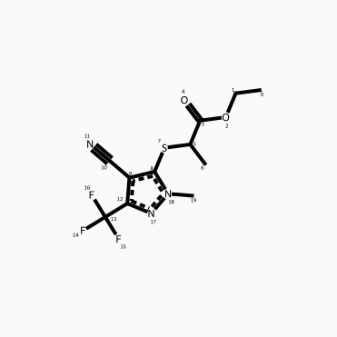 CCOC(=O)C(C)Sc1c(C#N)c(C(F)(F)F)nn1C